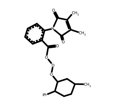 CC1=C(C)C(=O)N(c2ccccc2C(=O)OOOC2CC(C)CCC2C(C)C)C1=O